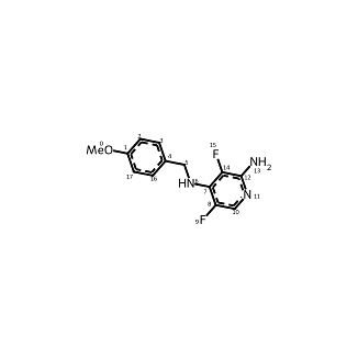 COc1ccc(CNc2c(F)cnc(N)c2F)cc1